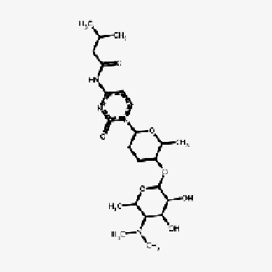 CC(C)CC(=O)Nc1ccn(C2CCC(OC3OC(C)C(N(C)C)C(O)C3O)C(C)O2)c(=O)n1